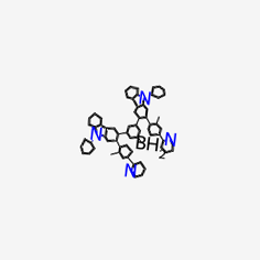 Bc1cc(-c2cc3c4ccccc4n(-c4ccccc4)c3cc2-c2ccc(-c3ccccn3)cc2C)cc(-c2cc3c4ccccc4n(-c4ccccc4)c3cc2-c2ccc(-c3ccccn3)cc2C)c1